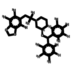 [2H]c1c([2H])c([2H])c(C(O[C@@H]2CCCN(C([2H])([2H])Cc3c([2H])c([2H])c4c(c3[2H])OCO4)C2)c2c([2H])c([2H])c([2H])c([2H])c2[2H])c([2H])c1[2H]